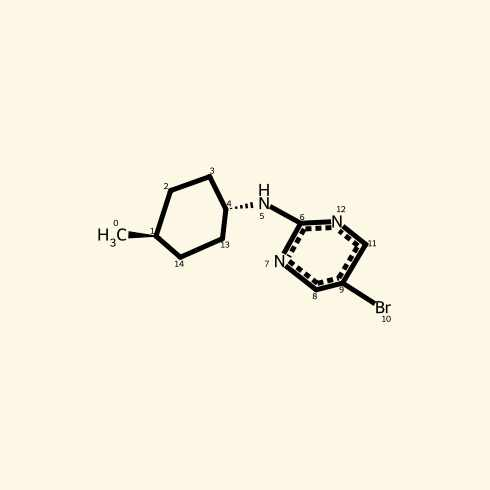 C[C@H]1CC[C@H](Nc2ncc(Br)cn2)CC1